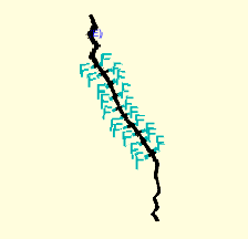 C/C=C/CCC(F)(F)C(F)(F)C(F)(F)C(F)(F)C(F)(F)C(F)(F)C(F)(F)C(F)(F)C(F)(F)C(F)(F)CCCCCCC